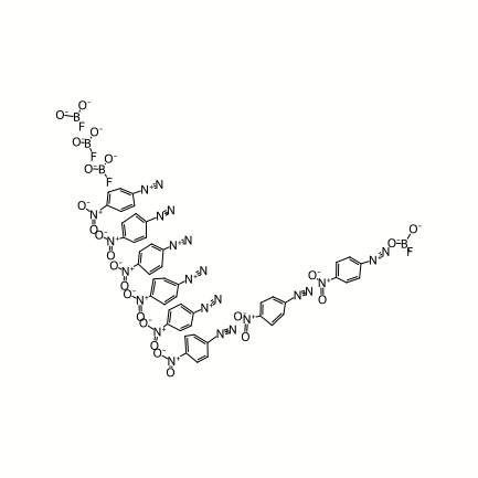 N#[N+]c1ccc([N+](=O)[O-])cc1.N#[N+]c1ccc([N+](=O)[O-])cc1.N#[N+]c1ccc([N+](=O)[O-])cc1.N#[N+]c1ccc([N+](=O)[O-])cc1.N#[N+]c1ccc([N+](=O)[O-])cc1.N#[N+]c1ccc([N+](=O)[O-])cc1.N#[N+]c1ccc([N+](=O)[O-])cc1.N#[N+]c1ccc([N+](=O)[O-])cc1.[O-]B([O-])F.[O-]B([O-])F.[O-]B([O-])F.[O-]B([O-])F